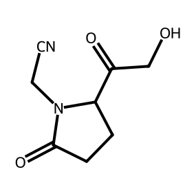 N#CCN1C(=O)CCC1C(=O)CO